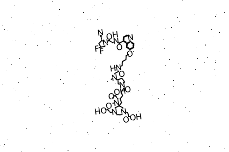 CN(CC(=O)NCCCCOc1ccc2nccc(C(=O)NCC(=O)N3CC(F)(F)C[C@H]3C#N)c2c1)[C@H]1CCN(C(=O)CCCCC2(N(C)CC(=O)O)CN(CC(=O)O)CCN(CC(=O)O)C2)C1